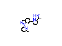 CN[C@H](C)c1cccc(-c2ccc3cnn(-c4cccc(C)n4)c3c2)n1